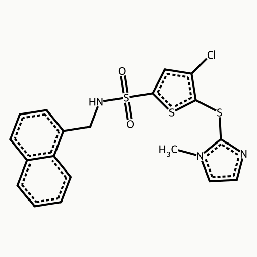 Cn1ccnc1Sc1sc(S(=O)(=O)NCc2cccc3ccccc23)cc1Cl